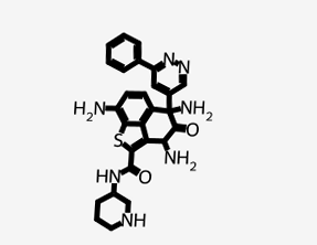 Nc1ccc2c3c(c(C(=O)NC4CCCNC4)sc13)C(N)C(=O)C2(N)c1cnnc(-c2ccccc2)c1